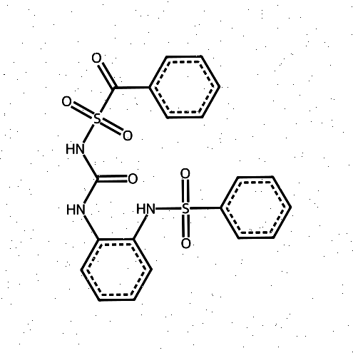 O=C(Nc1ccccc1NS(=O)(=O)c1ccccc1)NS(=O)(=O)C(=O)c1ccccc1